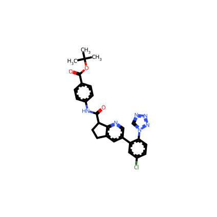 CC(C)(C)OC(=O)c1ccc(NC(=O)C2CCc3cc(-c4cc(Cl)ccc4-n4cnnn4)cnc32)cc1